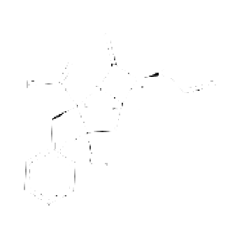 CC1(C)S[C@@H]2[C@H](OC=O)C(=O)N2[C@@]1(Cc1ccccc1)C(=O)O